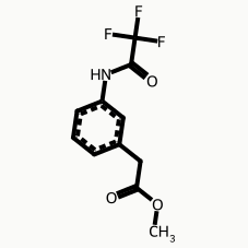 COC(=O)Cc1cccc(NC(=O)C(F)(F)F)c1